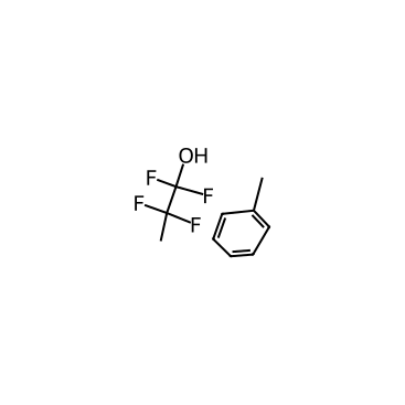 CC(F)(F)C(O)(F)F.Cc1ccccc1